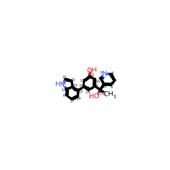 CC(O)(c1cccnc1)c1cc(O)cc(-c2cccc3[nH]ccc23)c1